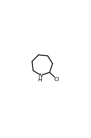 ClC1CCCCCN1